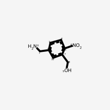 NCc1ccc([N+](=O)[O-])c(CO)c1